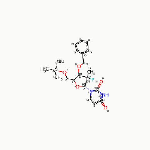 CC(C)(C)[Si](C)(C)OCC1O[C@@H](n2ccc(=O)[nH]c2=O)[C@](C)(F)[C@@H]1OCc1ccccc1